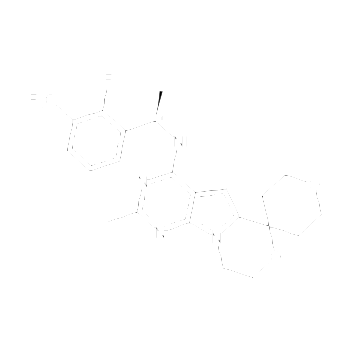 Cc1nc(N[C@H](C)c2cccc(C(F)(F)F)c2F)c2cc3n(c2n1)CCOC31CCOCC1